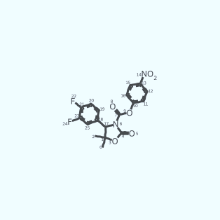 CC1(C)OC(=O)N(C(=O)Oc2ccc([N+](=O)[O-])cc2)C1c1ccc(F)c(F)c1